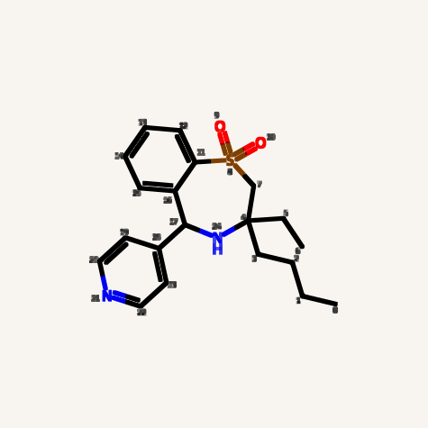 CCCCC1(CC)CS(=O)(=O)c2ccccc2C(c2ccncc2)N1